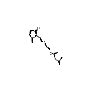 CC(C)NC(=O)OCCOCCN1C(=O)C=CC1=O